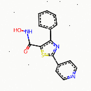 O=C(NO)c1sc(-c2ccncc2)nc1-c1ccccc1